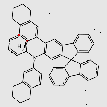 Cc1cc2c(cc1-c1cc3c(cc1N(c1ccccc1)c1ccc4c(c1)CCCC4)C1(c4ccccc4-c4ccccc41)c1ccccc1-3)CCCC2